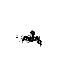 O=S(=O)(c1ccc(C(F)(F)F)c(F)c1)N1CCC2=Cc3c(cnn3-c3ccc(F)cc3)CC2(COc2ccccn2)C1